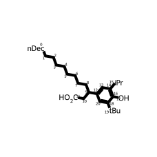 CCCCCCCCCCCCCCCCCCC(CC(=O)O)c1cc(C(C)C)c(O)c(C(C)(C)C)c1